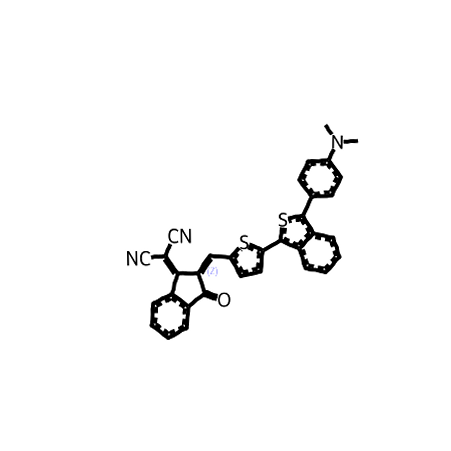 CN(C)c1ccc(-c2sc(-c3ccc(/C=C4\C(=O)c5ccccc5C4=C(C#N)C#N)s3)c3ccccc23)cc1